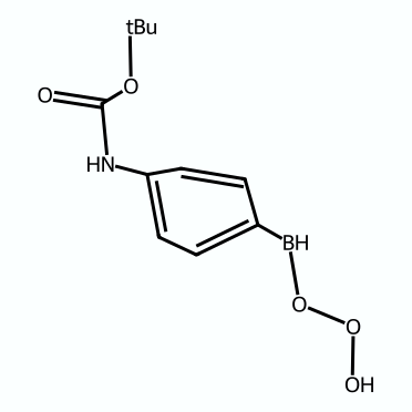 CC(C)(C)OC(=O)Nc1ccc(BOOO)cc1